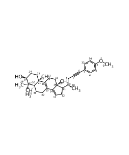 COc1ccc(C#CC[C@@H](C)[C@H]2CC=C3C4=C(CC[C@@]32C)[C@@]2(C)CC[C@H](O)C(C)(C)[C@@H]2CC4)cc1